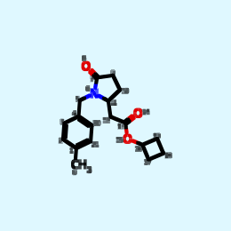 Cc1ccc(CN2C(=O)CCC2CC(=O)OC2CCC2)cc1